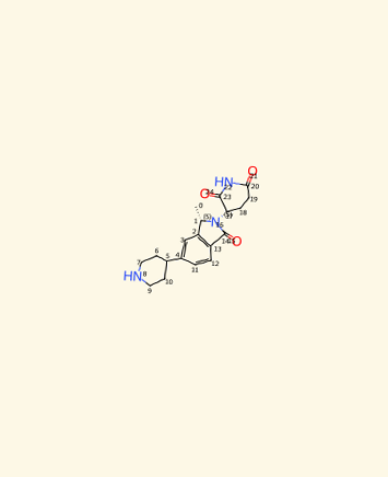 C[C@H]1c2cc(C3CCNCC3)ccc2C(=O)N1[C@H]1CCC(=O)NC1=O